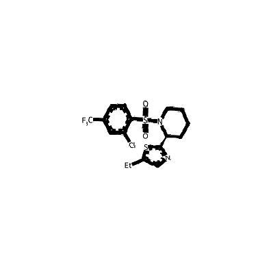 CCc1cnc([C@@H]2CCCCN2S(=O)(=O)c2ccc(C(F)(F)F)cc2Cl)s1